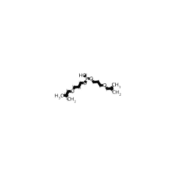 C=C(C)COCCCOP(O)OCCCOCC(=C)C